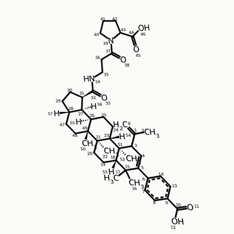 C=C(C)C1C=C(c2ccc(C(=O)O)cc2)C(C)(C)[C@@H]2CC[C@]3(C)[C@H](CC[C@@H]4[C@H]5[C@@H](CC[C@H]5C(=O)NCCC(=O)N5CCCC5C(=O)O)CC[C@]43C)[C@@]12C